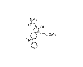 CNC(=O)CN1C[C@]2(CC[C@](c3ccccc3)(N(C)C)CC2)N(CCCOC)C1O